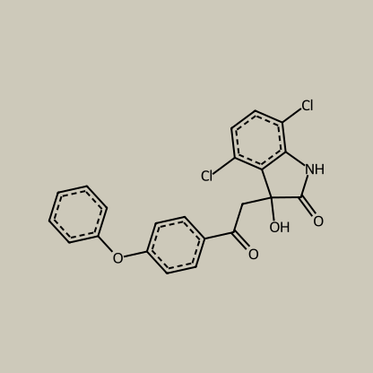 O=C(CC1(O)C(=O)Nc2c(Cl)ccc(Cl)c21)c1ccc(Oc2ccccc2)cc1